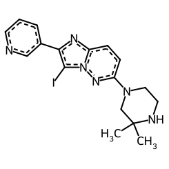 CC1(C)CN(c2ccc3nc(-c4cccnc4)c(I)n3n2)CCN1